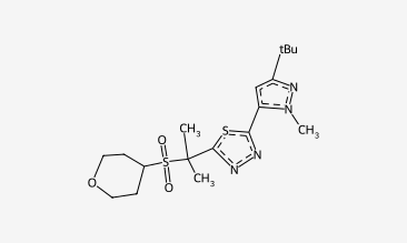 Cn1nc(C(C)(C)C)cc1-c1nnc(C(C)(C)S(=O)(=O)C2CCOCC2)s1